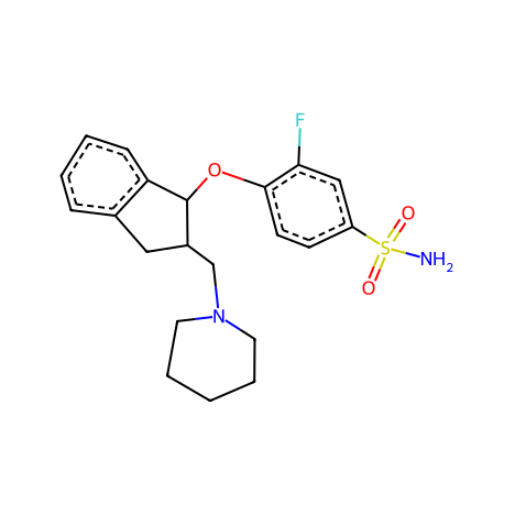 NS(=O)(=O)c1ccc(OC2c3ccccc3CC2CN2CCCCC2)c(F)c1